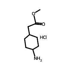 COC(=O)CC1CCC(N)CC1.Cl